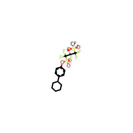 O=S(=O)(Oc1ccc(C2CCCCC2)cc1)C(F)(F)C(F)(F)C(F)(F)S(=O)(=O)C(F)(F)F